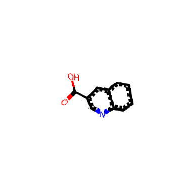 O=C(O)c1[c]nc2ccccc2c1